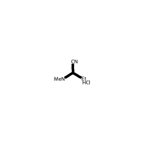 CCC(C#N)NC.Cl